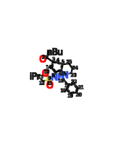 CCCCC(=O)c1cc2c(c(NS(=O)(=O)CC(C)C)c1)N(Cc1ccccc1)CCC2